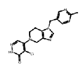 Cc1ccc(Cn2cnc3c2CCN(c2cn[nH]c(=O)c2Cl)C3)cn1